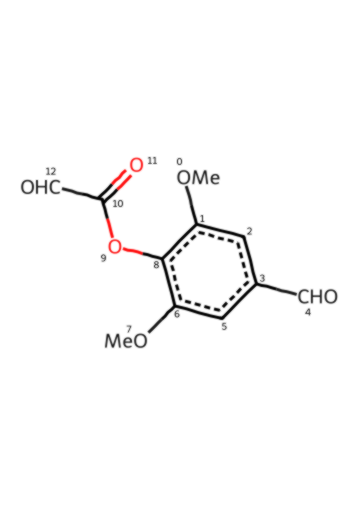 COc1cc(C=O)cc(OC)c1OC(=O)C=O